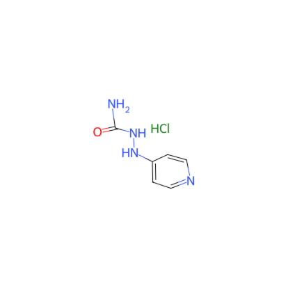 Cl.NC(=O)NNc1ccncc1